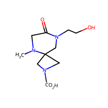 CN1CC(=O)N(CCO)CC12CN(C(=O)O)C2